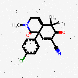 CN1CC=C2C(C)(C)C(=O)C(C#N)=CC2(c2ccc(Cl)cc2)C1=O